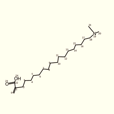 C=C(CCCCCCCCCCCCCCCCCN(C)C)C(=O)O